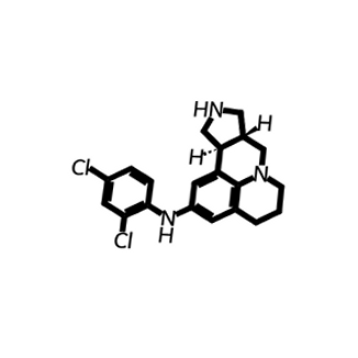 Clc1ccc(Nc2cc3c4c(c2)[C@H]2CNC[C@@H]2CN4CCC3)c(Cl)c1